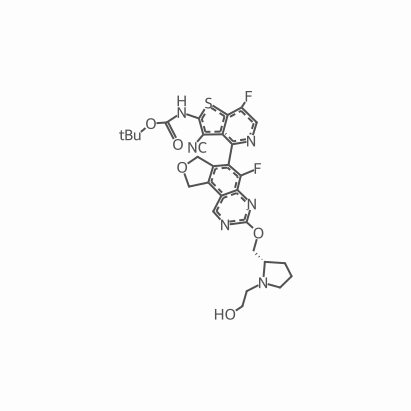 CC(C)(C)OC(=O)Nc1sc2c(F)cnc(-c3c4c(c5cnc(OC[C@@H]6CCCN6CCO)nc5c3F)COC4)c2c1C#N